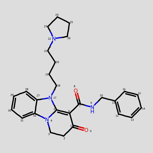 O=C1CCN2C(=C1C(=O)NCc1ccccc1)N(CCCCN1CCCC1)c1ccccc12